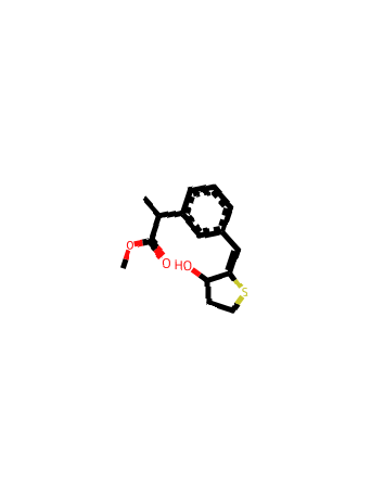 COC(=O)C(C)c1cccc(C=C2SCCC2O)c1